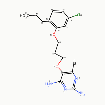 CCc1nc(N)nc(N)c1OCCCOc1cc(Cl)ccc1CCC(=O)O